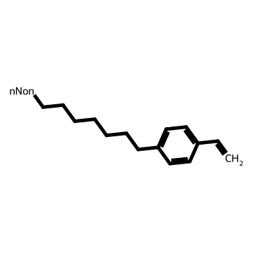 C=Cc1ccc(CCCCCCCCCCCCCCCC)cc1